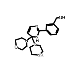 OCc1cccc(C2=NC=CC(N3CCNCC3)(N3CCOCC3)N2)c1